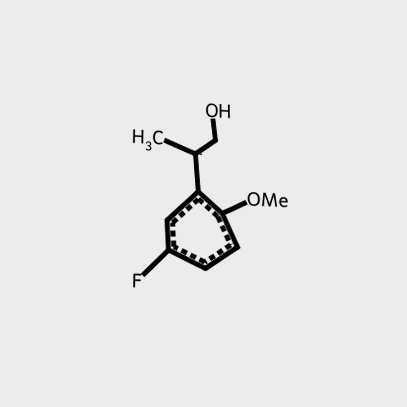 COc1ccc(F)cc1[C](C)CO